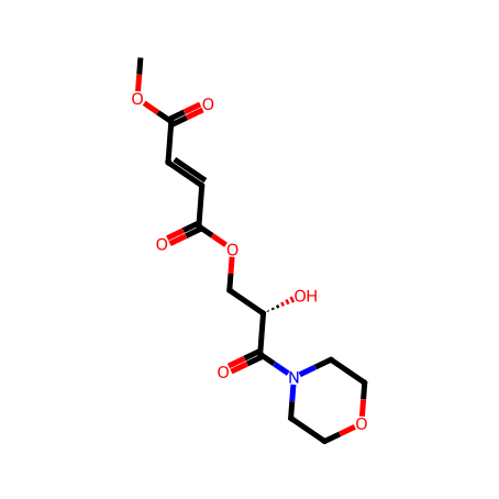 COC(=O)/C=C/C(=O)OC[C@H](O)C(=O)N1CCOCC1